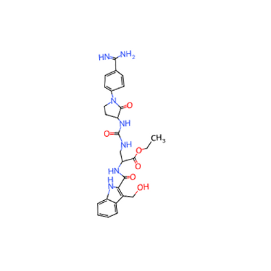 CCOC(=O)C(CNC(=O)NC1CCN(c2ccc(C(=N)N)cc2)C1=O)NC(=O)c1[nH]c2ccccc2c1CO